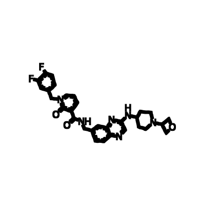 O=C(NCc1ccc2ncc(NC3CCN(C4COC4)CC3)nc2c1)c1cccn(Cc2ccc(F)c(F)c2)c1=O